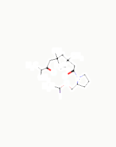 CC(I)OCC1CCCN1C(=O)CC(C)(C)CC(C)(C)CC(=O)C(C)C